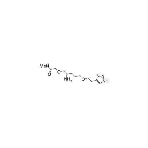 CNC(=O)COCC(N)CCCOCCc1c[nH]nn1